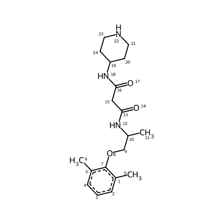 Cc1cccc(C)c1OCC(C)NC(=O)CC(=O)NC1CCNCC1